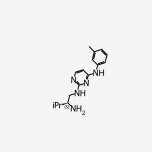 Cc1cccc(Nc2ccnc(NC[C@@H](N)C(C)C)n2)c1